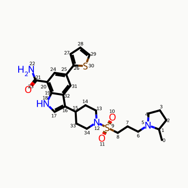 CC1CCCN1CCCS(=O)(=O)N1CCC(c2c[nH]c3c(C(N)=O)cc(-c4cccs4)cc23)CC1